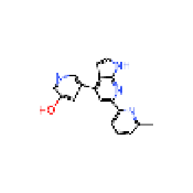 Cc1cccc(-c2cc(-c3cncc(O)c3)c3cc[nH]c3n2)n1